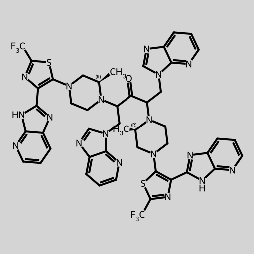 C[C@@H]1CN(c2sc(C(F)(F)F)nc2-c2nc3cccnc3[nH]2)CCN1C(Cn1cnc2cccnc21)C(=O)C(Cn1cnc2cccnc21)N1CCN(c2sc(C(F)(F)F)nc2-c2nc3cccnc3[nH]2)C[C@H]1C